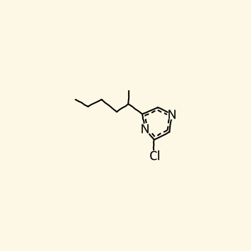 CCCCC(C)c1cncc(Cl)n1